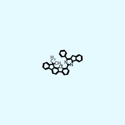 CC1(C)c2ccccc2-c2ccc3c(oc4c(-c5nc(-c6ccccc6)c6c(n5)-c5ccccc5C6)cccc43)c21